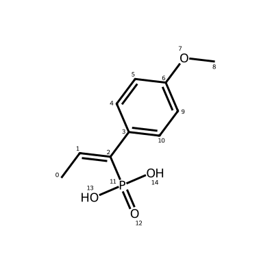 CC=C(c1ccc(OC)cc1)P(=O)(O)O